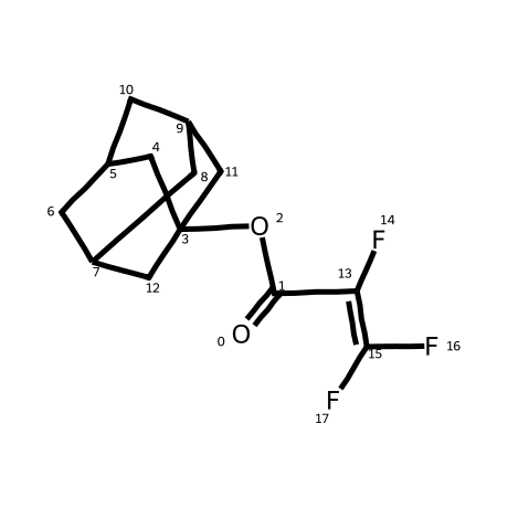 O=C(OC12CC3CC(CC(C3)C1)C2)C(F)=C(F)F